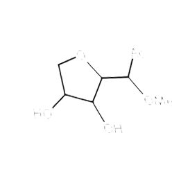 COC(C(C)=O)C1OCC(O)C1O